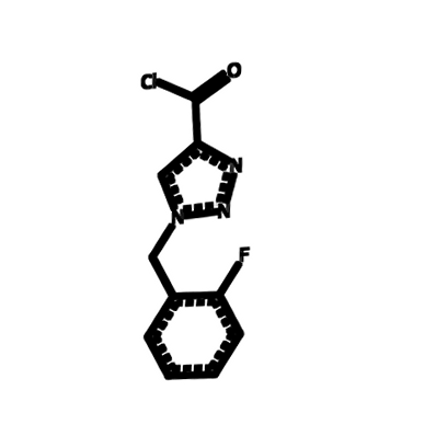 O=C(Cl)c1cn(Cc2ccccc2F)nn1